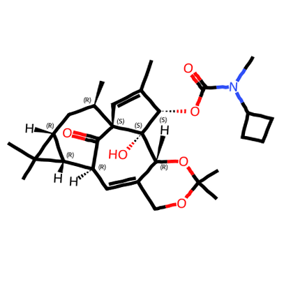 CC1=C[C@]23C(=O)[C@@H](C=C4COC(C)(C)O[C@H]4[C@]2(O)[C@H]1OC(=O)N(C)C1CCC1)[C@H]1[C@@H](C[C@H]3C)C1(C)C